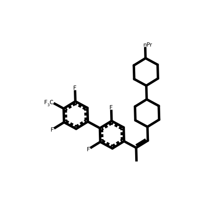 CCCC1CCC(C2CCC(C=C(C)c3cc(F)c(-c4cc(F)c(C(F)(F)F)c(F)c4)c(F)c3)CC2)CC1